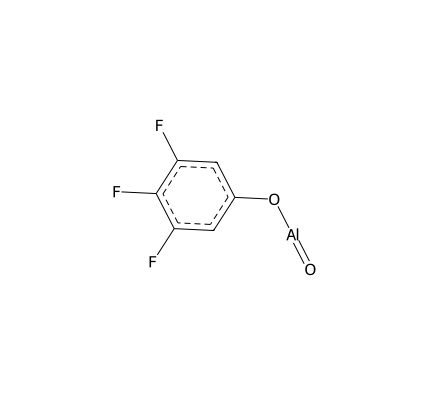 [O]=[Al][O]c1cc(F)c(F)c(F)c1